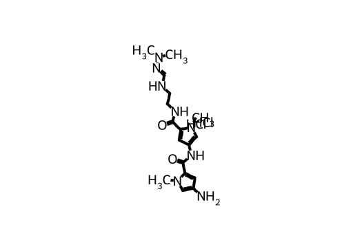 CN(C)N=CNCCNC(=O)c1cc(NC(=O)c2cc(N)cn2C)cn1C.Cl.Cl